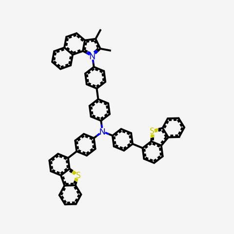 Cc1c(C)n(-c2ccc(-c3ccc(N(c4ccc(-c5cccc6c5sc5ccccc56)cc4)c4ccc(-c5cccc6c5sc5ccccc56)cc4)cc3)cc2)c2c1ccc1ccccc12